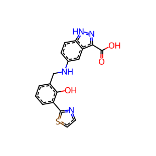 O=C(O)c1n[nH]c2ccc(NCc3cccc(-c4nccs4)c3O)cc12